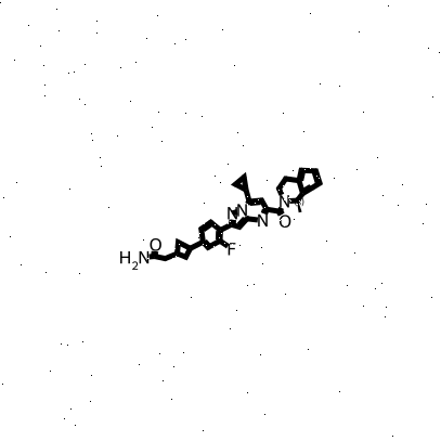 C[C@@H]1c2ccccc2CCN1C(=O)c1cc(C2CC2)n2nc(-c3ccc(C4CC(CC(N)=O)C4)cc3F)cc2n1